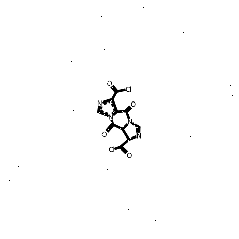 O=C(Cl)c1ncn2c1C(=O)N1C=NC(C(=O)Cl)C1C2=O